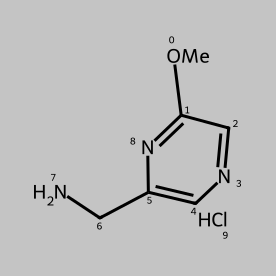 COc1cncc(CN)n1.Cl